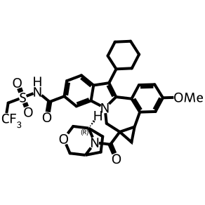 COc1ccc2c(c1)C1CC1(C(=O)N1C3CC[C@@H]1COC3)Cn1c-2c(C2CCCCC2)c2ccc(C(=O)NS(=O)(=O)CC(F)(F)F)cc21